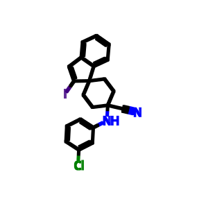 N#CC1(Nc2cccc(Cl)c2)CCC2(CC1)C(I)=Cc1ccccc12